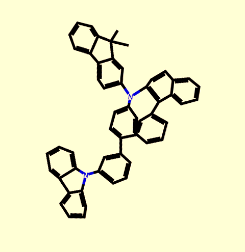 CC1(C)c2ccccc2-c2ccc(N(c3ccc(-c4cccc(-n5c6ccccc6c6ccccc65)c4)cc3)c3ccc4ccccc4c3-c3ccccc3)cc21